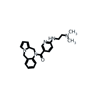 CN(C)CCNc1ccc(C(=O)N2Cc3cccn3Cc3ccccc32)cn1